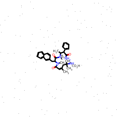 C/C(=C/C(=O)N(C)C(Cc1ccc2ccccc2c1)C(=O)N(C)C(C)C(C(N)=O)c1ccccc1)CC(C)(C)NC(=O)O